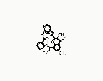 Cc1cc(C(C)Nc2ccccc2C(=O)OC(C)(C)C)c2oc(-c3cc4ccncc4o3)c(C)c(=O)c2c1